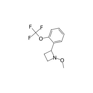 CON1CCC1c1ccccc1OC(F)(F)F